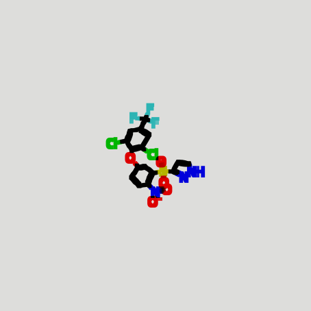 O=[N+]([O-])c1ccc(Oc2c(Cl)cc(C(F)(F)F)cc2Cl)cc1S(=O)(=O)c1cc[nH]n1